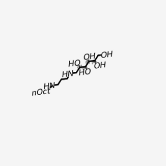 CCCCCCCCNCCCNC[C@H](O)[C@@H](O)[C@H](O)[C@H](O)CO